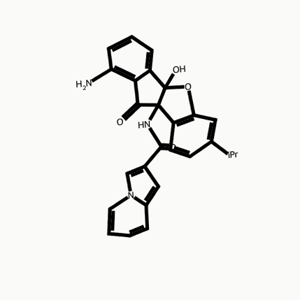 CC(C)c1ccc2c(c1)OC1(O)c3cccc(N)c3C(=O)C21NC(=O)c1cc2ccccn2c1